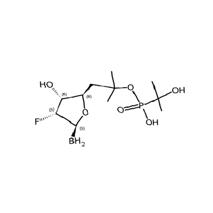 B[C@@H]1O[C@H](CC(C)(C)OP(=O)(O)C(C)(C)O)[C@@H](O)[C@H]1F